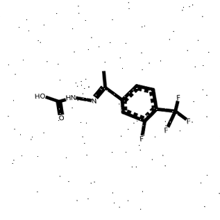 CC(=NNC(=O)O)c1ccc(C(F)(F)F)c(F)c1